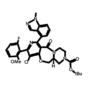 COc1cccc(F)c1-c1nc(-c2cccc3c2cnn3C)c2c(c1Cl)OC[C@H]1CN(C(=O)OC(C)(C)C)CCN1C2=O